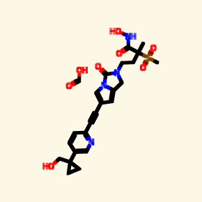 CC(CCN1Cc2cc(C#Cc3ccc(C4(CO)CC4)cn3)cn2C1=O)(C(=O)NO)S(C)(=O)=O.O=CO